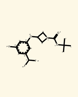 CC(C)(C)OC(=O)N1CC(Oc2cc(F)cc(C(F)F)c2)C1